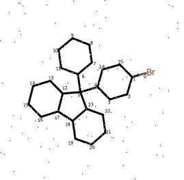 BrC1CCC(C2(C3CCCCC3)C3CCCCC3C3CCCCC32)CC1